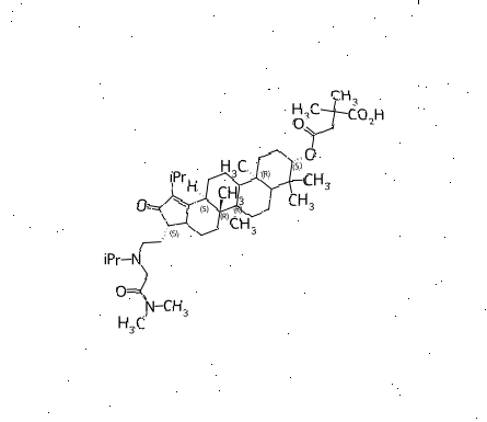 CC(C)C1=C2C(CC[C@]3(C)[C@@H]2CCC2[C@@]4(C)CC[C@H](OC(=O)CC(C)(C)C(=O)O)C(C)(C)C4CC[C@]23C)[C@H](CCN(CC(=O)N(C)C)C(C)C)C1=O